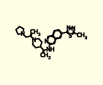 C=C(Nc1cc2cc(-c3nnc(C)s3)ccc2cn1)C1CCN(C(=C)CN2CCCC2)CC1